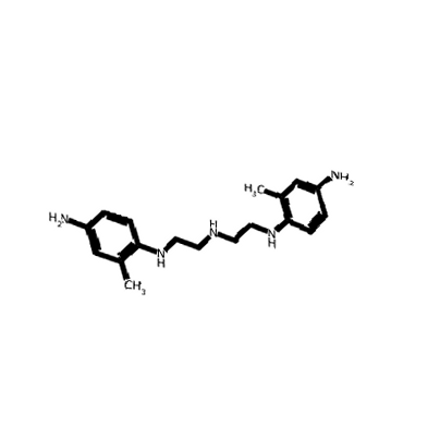 Cc1cc(N)ccc1NCCNCCNc1ccc(N)cc1C